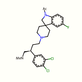 CNC[C@@H](CCN1CCC2(CC1)CN(C(C)=O)c1ccc(F)cc12)c1ccc(Cl)c(Cl)c1